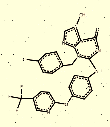 Cn1cnc2c1c(=O)nc(Nc1ccc(Oc3ccc(C(F)(F)F)cn3)cc1)n2Cc1ccc(Cl)cc1